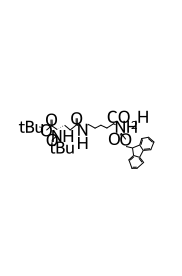 CC(C)(C)ON[C@@H](CCC(=O)NCCCC[C@H](NC(=O)OCC1c2ccccc2-c2ccccc21)C(=O)O)C(=O)OC(C)(C)C